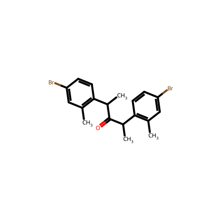 Cc1cc(Br)ccc1C(C)C(=O)C(C)c1ccc(Br)cc1C